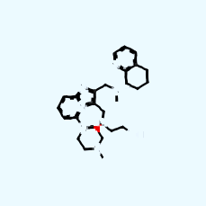 CCN(CCO)Cc1c(CN(C)[C@H]2CCCc3cccnc32)nc2cccc(N3CCN(C)CC3)n12